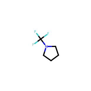 FC(F)(F)N1CCCC1